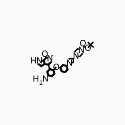 Cn1cc(-c2cc(N)ccc2Oc2cccc(N3CC(N4CCN(C(=O)OC(C)(C)C)CC4)C3)c2)c2cc[nH]c2c1=O